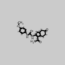 COc1ccc(NC(=O)Nc2sc3c(c2C(N)=O)CCC(=O)C3)cc1